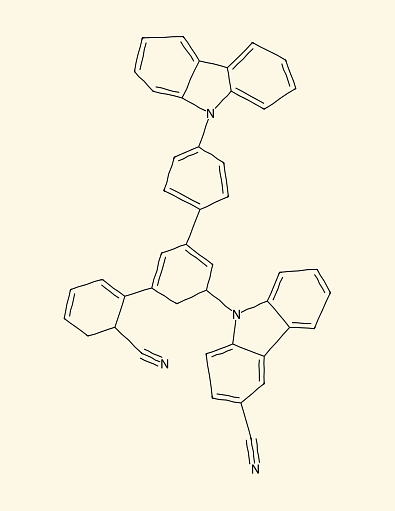 N#Cc1ccc2c(c1)c1ccccc1n2C1C=C(c2ccc(-n3c4ccccc4c4ccccc43)cc2)C=C(C2=CC=CCC2C#N)C1